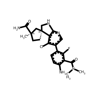 CN(C)C(=O)c1c(N)ccc(-c2cnc3c(c2Cl)[C@]2(CC[C@@](C)(C(N)=O)C2)CN3)c1F